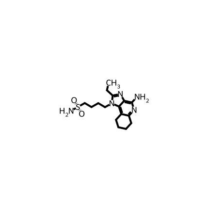 CCc1nc2c(N)nc3c(c2n1CCCCS(N)(=O)=O)CCCC3